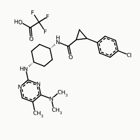 Cc1cnc(N[C@H]2CC[C@@H](NC(=O)C3CC3c3ccc(Cl)cc3)CC2)nc1N(C)C.O=C(O)C(F)(F)F